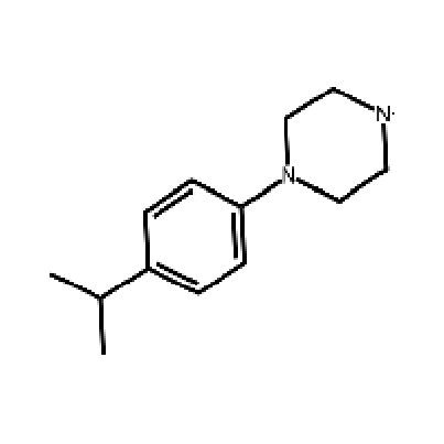 CC(C)c1ccc(N2CC[N]CC2)cc1